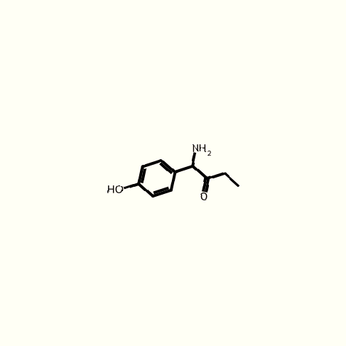 CCC(=O)C(N)c1ccc(O)cc1